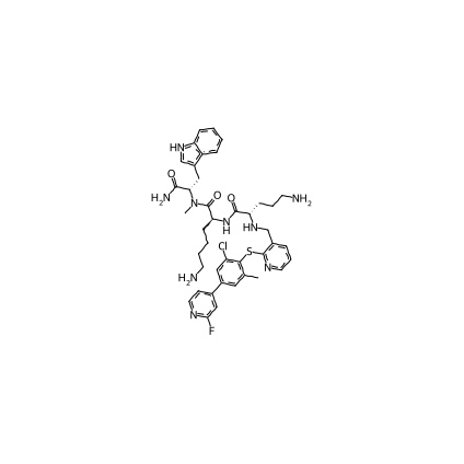 Cc1cc(-c2ccnc(F)c2)cc(Cl)c1Sc1ncccc1CN[C@@H](CCCN)C(=O)N[C@@H](CCCCN)C(=O)N(C)[C@@H](Cc1c[nH]c2ccccc12)C(N)=O